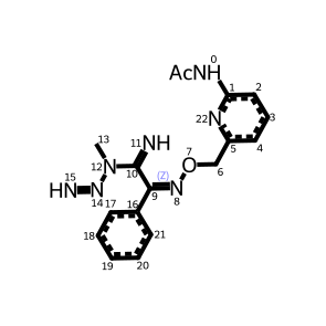 CC(=O)Nc1cccc(CO/N=C(\C(=N)N(C)N=N)c2ccccc2)n1